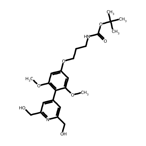 COc1cc(OCCCNC(=O)OC(C)(C)C)cc(OC)c1-c1cc(CO)nc(CO)c1